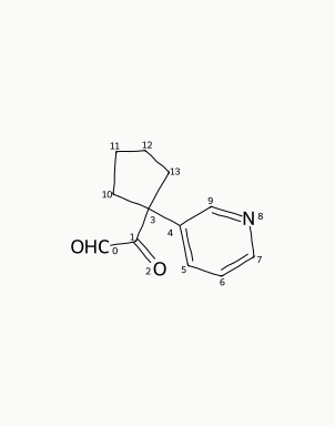 O=CC(=O)C1(c2cccnc2)CCCC1